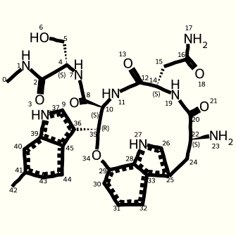 CNC(=O)[C@H](CO)NC(=O)[C@H]1NC(=O)[C@H](CC(N)=O)NC(=O)[C@@H](N)Cc2c[nH]c3c(cccc23)O[C@@H]1c1c[nH]c2cc(C)ccc12